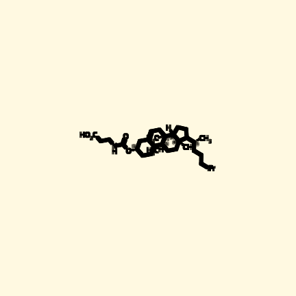 CC(C)CCC[C@@H](C)C1CC[C@H]2[C@]3(C)CC=C4C[C@@H](OC(=O)NCCC(=O)O)CC[C@]4(C)[C@H]3CC[C@]12C